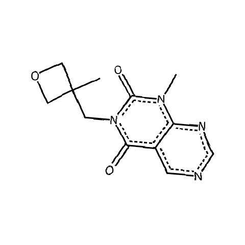 Cn1c(=O)n(CC2(C)COC2)c(=O)c2cncnc21